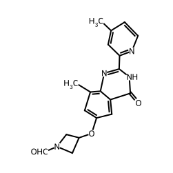 Cc1ccnc(-c2nc3c(C)cc(OC4CN(C=O)C4)cc3c(=O)[nH]2)c1